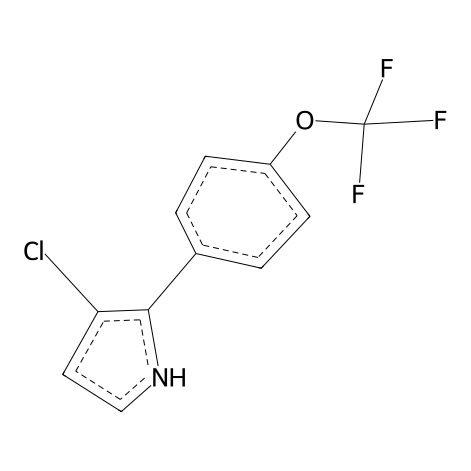 FC(F)(F)Oc1ccc(-c2[nH]ccc2Cl)cc1